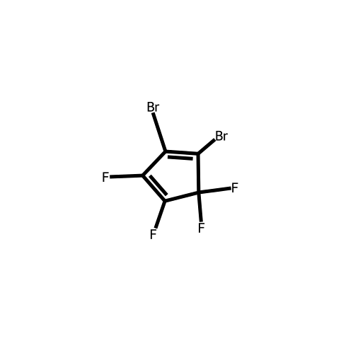 FC1=C(F)C(F)(F)C(Br)=C1Br